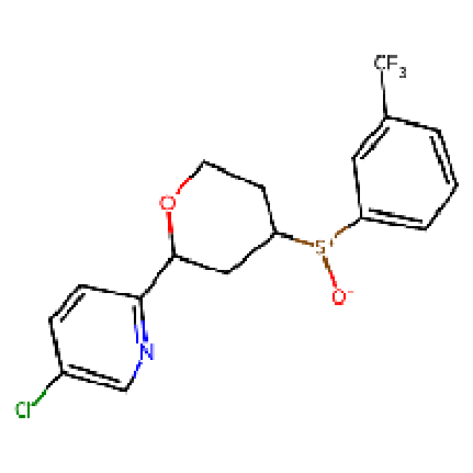 [O-][S+](c1cccc(C(F)(F)F)c1)C1CCOC(c2ccc(Cl)cn2)C1